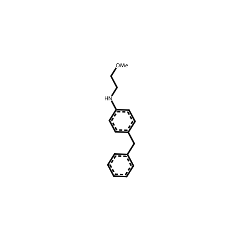 COCCNc1ccc(Cc2ccccc2)cc1